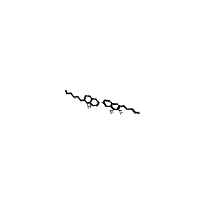 C/C=C/CCc1cc2ccc([C@@H]3CC[C@@H]4CC(CCCCCC)CCC4C3)cc2c(F)c1F